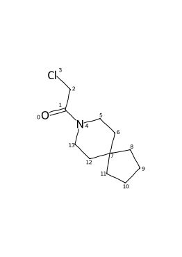 O=C(CCl)N1CCC2(CCCC2)CC1